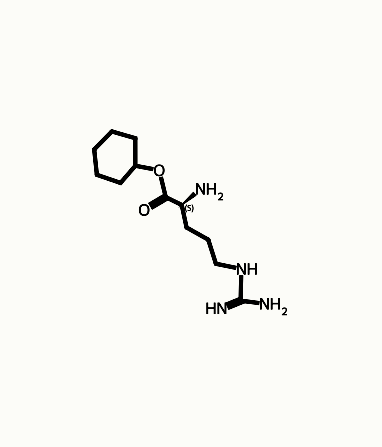 N=C(N)NCCC[C@H](N)C(=O)OC1CCCCC1